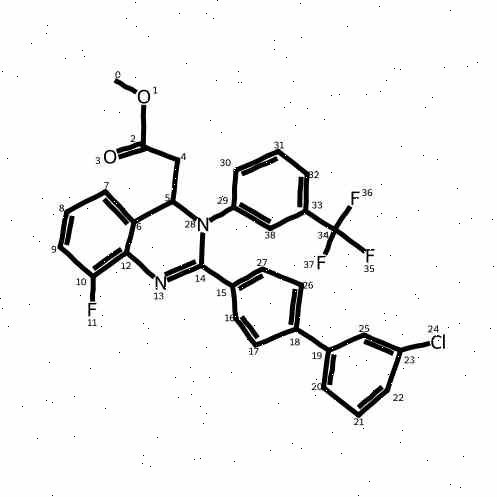 COC(=O)CC1c2cccc(F)c2N=C(c2ccc(-c3cccc(Cl)c3)cc2)N1c1cccc(C(F)(F)F)c1